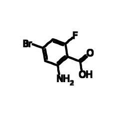 Nc1cc(Br)cc(F)c1C(=O)O